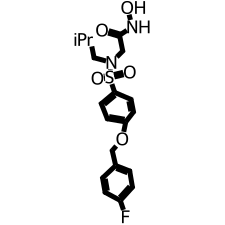 CC(C)CN(CC(=O)NO)S(=O)(=O)c1ccc(OCc2ccc(F)cc2)cc1